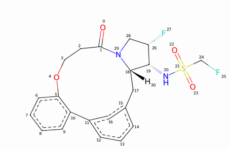 O=C1CCOc2ccccc2-c2cccc(c2)C[C@H]2[C@@H](NS(=O)(=O)CF)[C@@H](F)CN12